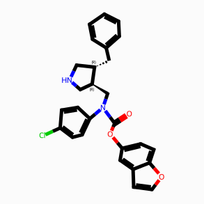 O=C(Oc1ccc2occc2c1)N(C[C@H]1CNC[C@@H]1Cc1ccccc1)c1ccc(Cl)cc1